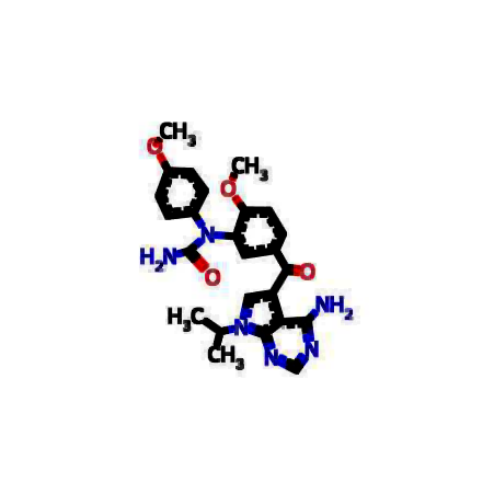 COc1ccc(N(C(N)=O)c2cc(C(=O)c3cn(C(C)C)c4ncnc(N)c34)ccc2OC)cc1